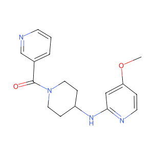 COc1ccnc(NC2CCN(C(=O)c3cccnc3)CC2)c1